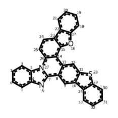 c1ccc2c(c1)nc1c3cc4c(cc3c3c5oc6ccccc6c5ccc3n21)sc1ccccc14